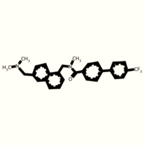 CN(C)Cc1ccc2c(CN(C)C(=O)c3ccc(-c4ccc(C(F)(F)F)cc4)cc3)cccc2c1